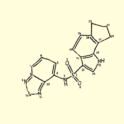 O=S(=O)(Nc1cccc2nsnc12)c1c[nH]c2c3c(ccc12)CCC3